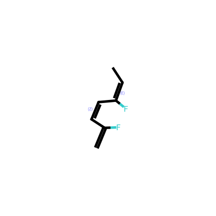 C=C(F)/C=C\C(F)=C/C